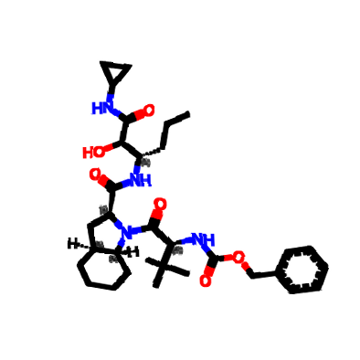 CCC[C@H](NC(=O)[C@@H]1C[C@@H]2CCCC[C@@H]2N1C(=O)[C@@H](NC(=O)OCc1ccccc1)C(C)(C)C)C(O)C(=O)NC1CC1